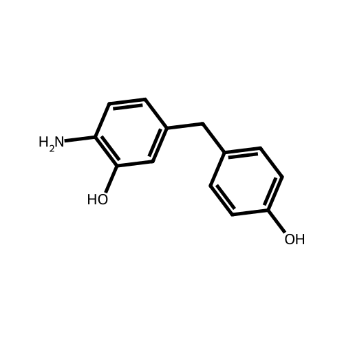 Nc1ccc(Cc2ccc(O)cc2)cc1O